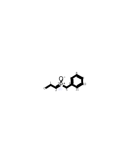 CC/C=[P+](\[O-])Cc1ccccc1